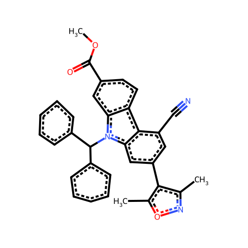 COC(=O)c1ccc2c3c(C#N)cc(-c4c(C)noc4C)cc3n(C(c3ccccc3)c3ccccc3)c2c1